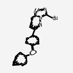 CC(C)(C)c1nnc2ccc(-c3ccc(Oc4ccccc4)cc3)nn12